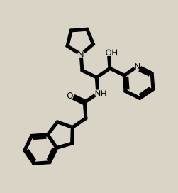 O=C(CC1Cc2ccccc2C1)NC(CN1CCCC1)C(O)c1ccccn1